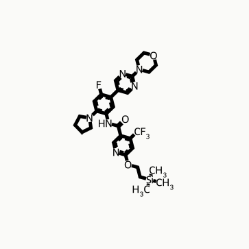 C[Si](C)(C)CCOc1cc(C(F)(F)F)c(C(=O)Nc2cc(-c3cnc(N4CCOCC4)nc3)c(F)cc2N2C[CH]CC2)cn1